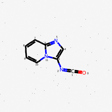 O=C=Nc1cnc2ccccn12